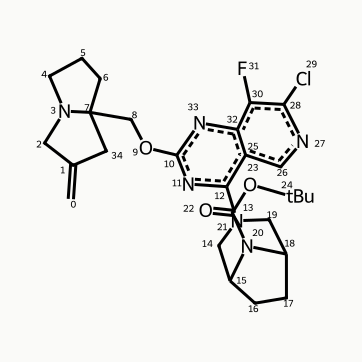 C=C1CN2CCCC2(COc2nc(N3CC4CCC(C3)N4C(=O)OC(C)(C)C)c3cnc(Cl)c(F)c3n2)C1